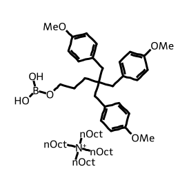 CCCCCCCC[N+](CCCCCCCC)(CCCCCCCC)CCCCCCCC.COc1ccc(CC(CCCOB(O)O)(Cc2ccc(OC)cc2)Cc2ccc(OC)cc2)cc1